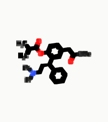 C=C(C)C(=O)Oc1ccc(CC(=O)OC)cc1[C@H](CCN(C(C)C)C(C)C)c1ccccc1